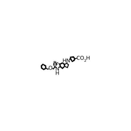 O=C(COCc1ccccc1)Nc1cc2c(cc1Br)C(Nc1ccc(C(=O)O)cc1)CC2